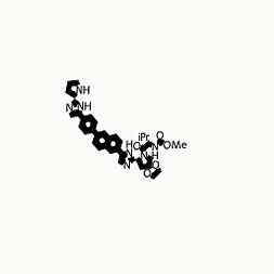 COC(=O)N[C@H](C(=O)N1CC2(C[C@H]1c1ncc(-c3ccc4cc(-c5ccc(-c6cnc([C@@H]7CCCN7)[nH]6)cc5)ccc4c3)[nH]1)OCCO2)C(C)C